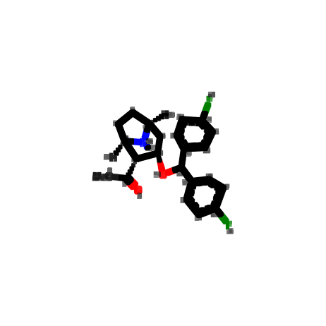 COC(=O)[C@@H]1[C@H]2CC[C@@H](C[C@H]1OC(c1ccc(F)cc1)c1ccc(F)cc1)N2C